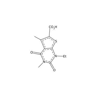 CCn1c(=O)n(C)c(=O)c2c(C)c(C(=O)O)sc21